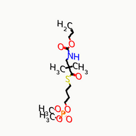 C=CCOC(=O)NCC(C)(C)C(=O)SCCCCOP(=O)(OC)OC